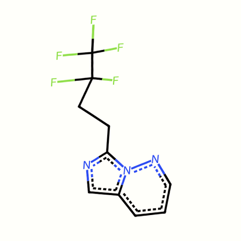 FC(F)(F)C(F)(F)CCc1ncc2cccnn12